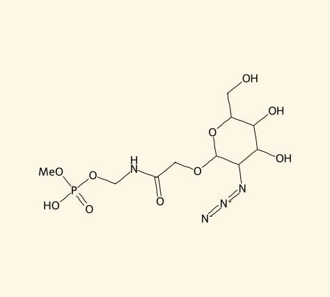 COP(=O)(O)OCNC(=O)COC1OC(CO)C(O)C(O)C1N=[N+]=[N-]